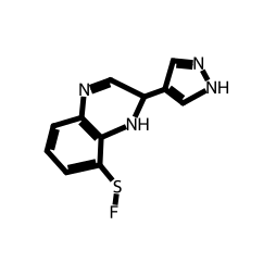 FSc1cccc2c1NC(c1cn[nH]c1)C=N2